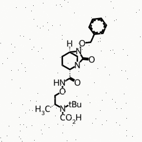 C[C@H](CONC(=O)[C@@H]1CC[C@@H]2CN1C(=O)N2OCc1ccccc1)N(C(=O)O)C(C)(C)C